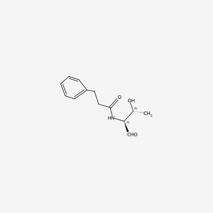 C[C@@H](O)[C@@H](C=O)NC(=O)CCc1ccccc1